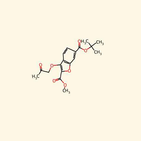 COC(=O)c1oc2cc(C(=O)OC(C)(C)C)ccc2c1OCC(C)=O